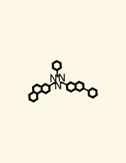 c1ccc(-c2ccc3cc(-c4nc(-c5ccccc5)nc(-c5ccc6c(ccc7ccccc76)c5)n4)ccc3c2)cc1